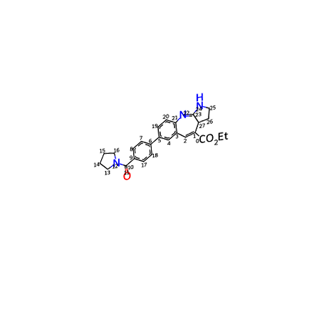 CCOC(=O)C1=Cc2cc(-c3ccc(C(=O)N4CCCC4)cc3)ccc2N=C2NCCC12